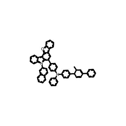 CC1C=C(c2ccccc2)C=CC1c1ccc(N(c2ccccc2)c2ccc(-c3cc4c5ccccc5oc4c4c5ccccc5n(-c5ccc6ccccc6c5)c34)cc2)cc1